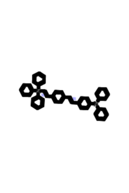 C(=C\c1ccc(N(c2ccccc2)c2ccccc2)cc1)/c1ccc(/C=C/[Si](c2ccccc2)(c2ccccc2)c2ccccc2)cc1